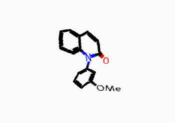 COc1cccc(-n2c(=O)ccc3ccccc32)c1